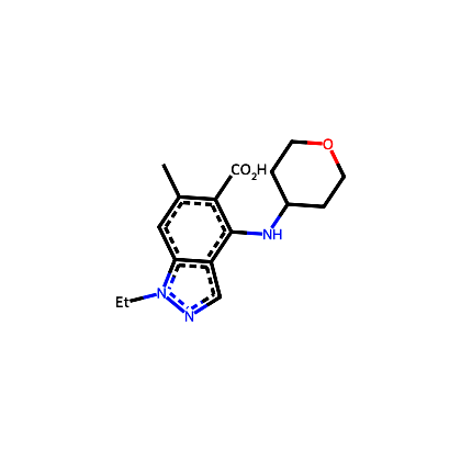 CCn1ncc2c(NC3CCOCC3)c(C(=O)O)c(C)cc21